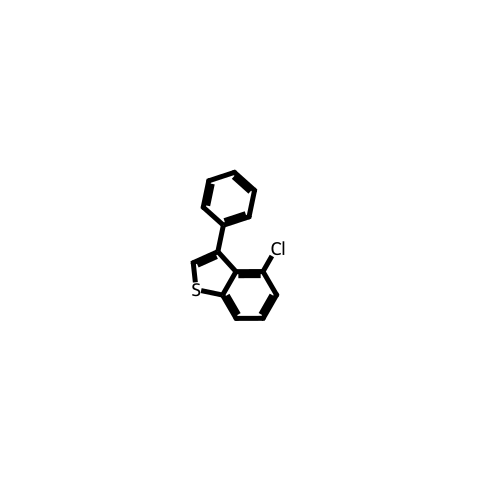 Clc1cccc2scc(-c3ccccc3)c12